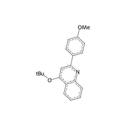 COc1ccc(-c2cc(OC(C)(C)C)c3ccccc3n2)cc1